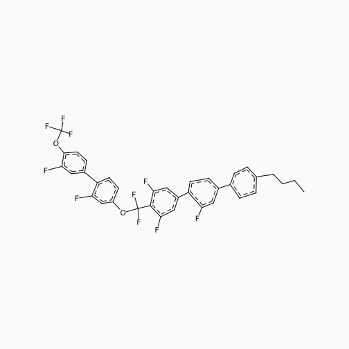 CCCCc1ccc(-c2ccc(-c3cc(F)c(C(F)(F)Oc4ccc(-c5ccc(OC(F)(F)F)c(F)c5)c(F)c4)c(F)c3)c(F)c2)cc1